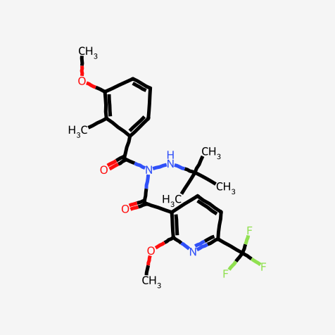 COc1cccc(C(=O)N(NC(C)(C)C)C(=O)c2ccc(C(F)(F)F)nc2OC)c1C